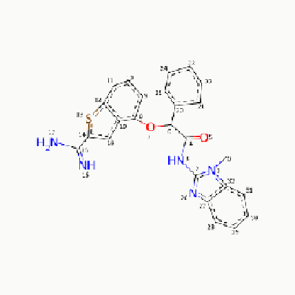 Cn1c(NC(=O)C(Oc2cccc3sc(C(=N)N)cc23)c2ccccc2)nc2ccccc21